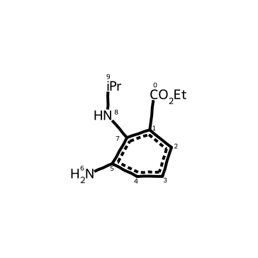 CCOC(=O)c1cccc(N)c1NC(C)C